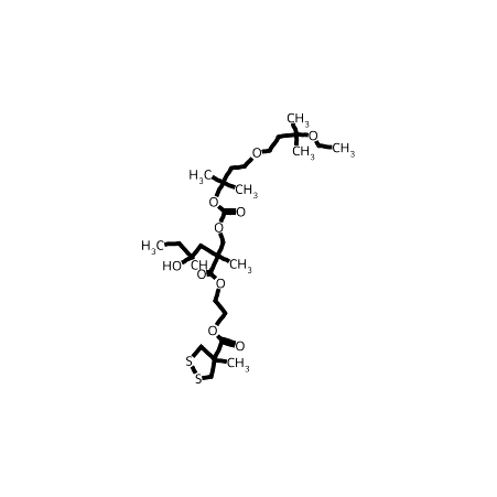 CCOC(C)(C)CCOCCC(C)(C)OC(=O)OCC(C)(CC(C)(O)CC)C(=O)OCCOC(=O)C1(C)CSSC1